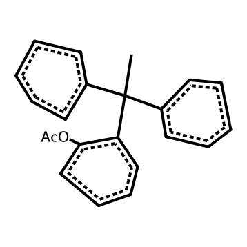 CC(=O)Oc1ccccc1C(C)(c1ccccc1)c1ccccc1